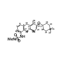 CNS(=O)(=O)Nc1nccc(Cc2cncc(OC3CCC(C)(C)CC3)c2C)c1F